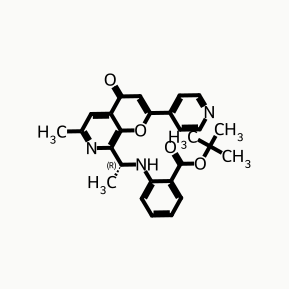 Cc1cc2c(=O)cc(-c3ccncc3)oc2c([C@@H](C)Nc2ccccc2C(=O)OC(C)(C)C)n1